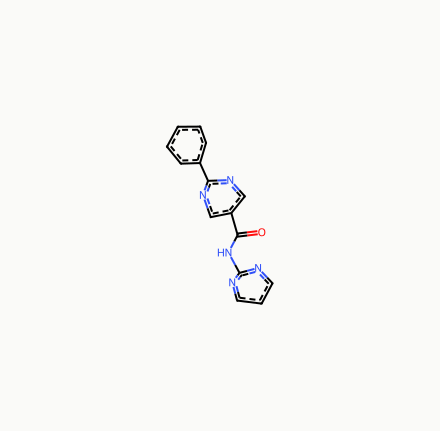 O=C(Nc1ncccn1)c1cnc(-c2ccccc2)nc1